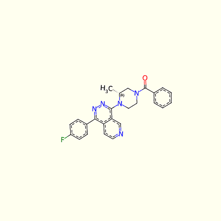 C[C@@H]1CN(C(=O)c2ccccc2)CCN1c1nnc(-c2ccc(F)cc2)c2ccncc12